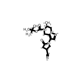 C[C@H]1Cn2ncc(N3CC(C#N)CC3=O)c2CN1C(=O)OC(C)(C)C